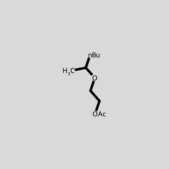 CCCCC(C)OCCOC(C)=O